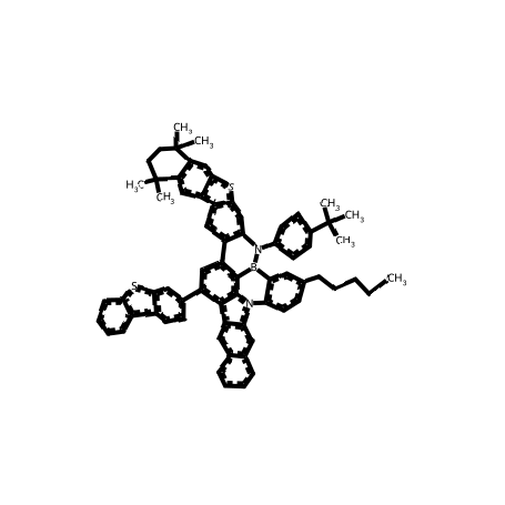 CCCCCc1ccc2c(c1)B1c3c(cc(-c4ccc5c(c4)sc4ccccc45)c4c5cc6ccccc6cc5n-2c34)-c2cc3c(cc2N1c1ccc(C(C)(C)C)cc1)sc1cc2c(cc13)C(C)(C)CCC2(C)C